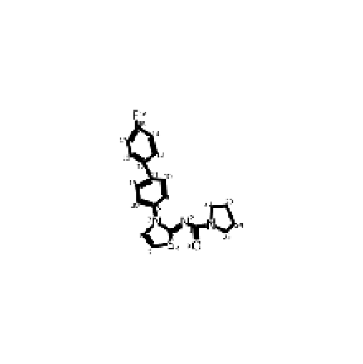 O=C(N=c1sccn1-c1ccc(-c2ccc(F)cc2)cc1)N1CCCC1